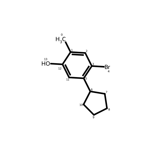 Cc1cc(Br)c(C2CCCC2)cc1O